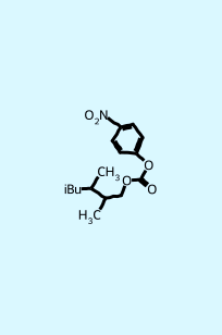 CCC(C)C(C)C(C)COC(=O)Oc1ccc([N+](=O)[O-])cc1